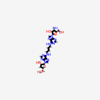 N[C@H]1[C@@H](O)[C@H](n2cnc3c(NC/C=C/CNc4ncnc5c4ncn5C4O[C@H](CO)C[C@H]4O)ncnc32)O[C@@H]1CO